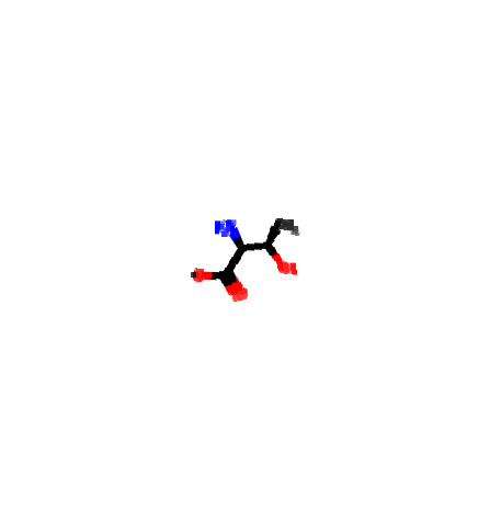 C[C@@H](O)[C@H](N)C([O])=O